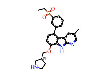 CCS(=O)(=O)c1cccc(-c2ccc(OC[C@H]3CCNC3)c3[nH]c4ncc(C)cc4c23)c1